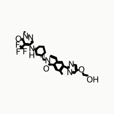 Cc1cc2c(=O)n(C[C@@H]3CCC[C@H](Nc4cnn(C)c(=O)c4C(F)(F)F)C3)ccc2cc1-c1ncc(OCCO)cn1